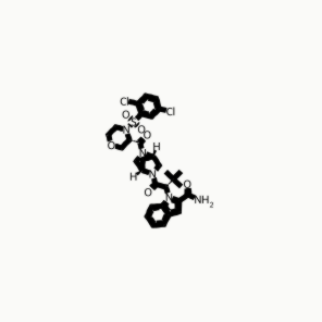 CC(C)(C)[C@@H](C(=O)N1C[C@@H]2C[C@H]1CN2C(=O)[C@@H]1COCCN1S(=O)(=O)c1cc(Cl)ccc1Cl)n1c(C(N)=O)cc2ccccc21